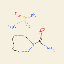 NC(=O)N1CCCCC1.NS(N)(=O)=O